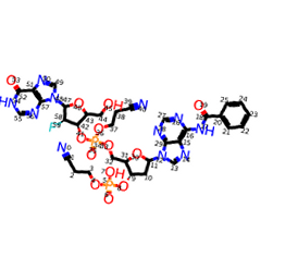 N#CCCOP(=O)(O)O[C@H]1CC(n2cnc3c(NC(=O)c4ccccc4)ncnc32)OC1COP(=O)(OCCC#N)O[C@@H]1C(CO)OC(n2cnc3c(=O)[nH]cnc32)[C@@H]1F